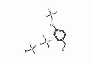 F[B-](F)(F)F.F[B-](F)(F)F.F[B-](F)(F)F.[K][CH2]c1ccc(Br)cc1